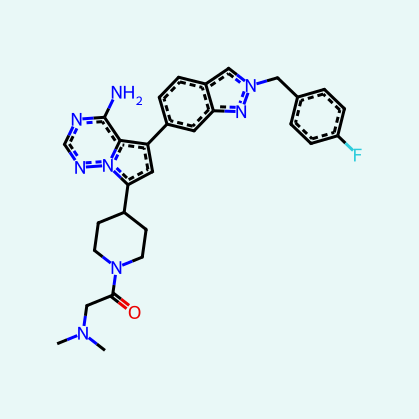 CN(C)CC(=O)N1CCC(c2cc(-c3ccc4cn(Cc5ccc(F)cc5)nc4c3)c3c(N)ncnn23)CC1